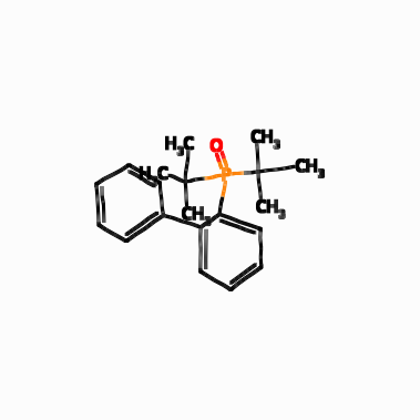 CC(C)(C)P(=O)(c1ccccc1-c1ccccc1)C(C)(C)C